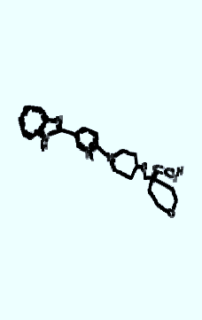 O=C(O)C1(COC2CCN(c3ccc(-c4nc5ccccc5[nH]4)cn3)CC2)CCOCC1